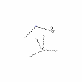 CCCCCCCC/C=C\CCCCCCCC(=O)[O-].CCCCCCCC[P+](CCCCCCCC)(CCCCCCCC)CCCCCCCC